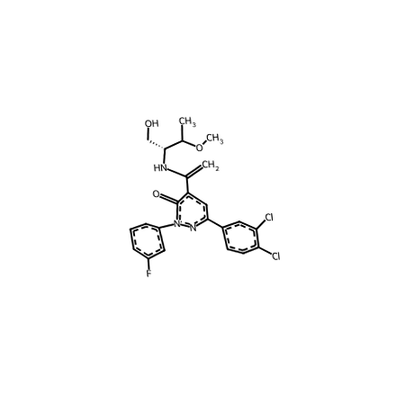 C=C(N[C@H](CO)C(C)OC)c1cc(-c2ccc(Cl)c(Cl)c2)nn(-c2cccc(F)c2)c1=O